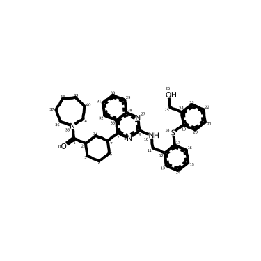 O=C(C1CCCC(c2nc(NCc3ccccc3Sc3ccccc3CO)nc3ccccc23)C1)N1CCCCCC1